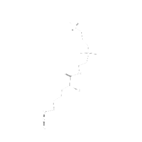 C[N+](C)(CCCS(=O)(=O)[O-])CCNC(=O)[C@@H](N)CCCCN=[N+]=[N-]